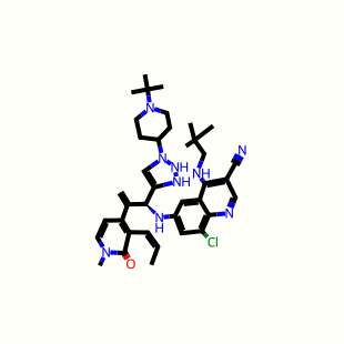 C=C(c1ccn(C)c(=O)c1/C=C\C)[C@H](Nc1cc(Cl)c2ncc(C#N)c(NCC(C)(C)C)c2c1)C1=CN(C2CCN(C(C)(C)C)CC2)NN1